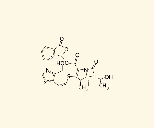 CC(O)[C@H]1C(=O)N2C(C(=O)OC3OC(=O)c4ccccc43)=C(S/C=C\c3scnc3CO)[C@H](C)[C@H]12